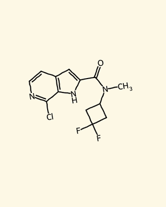 CN(C(=O)c1cc2ccnc(Cl)c2[nH]1)C1CC(F)(F)C1